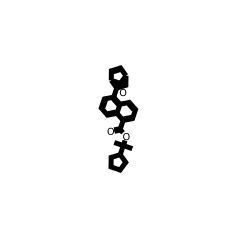 CC(C)(OC(=O)c1cccc2c(C3CC4C=CC3C4=O)cccc12)C1CCCC1